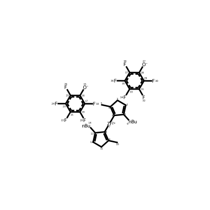 CCCCC1=CCC(C)=[C]1[Zr+2][C]1=C(C)CC=C1CCCC.[O-]c1c(F)c(F)c(F)c(F)c1F.[O-]c1c(F)c(F)c(F)c(F)c1F